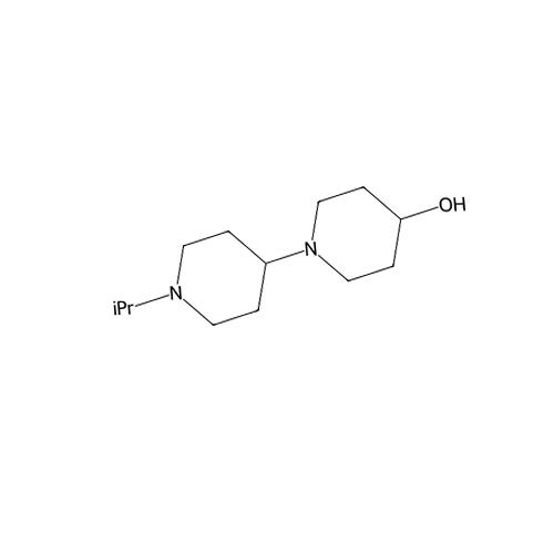 CC(C)N1CCC(N2CCC(O)CC2)CC1